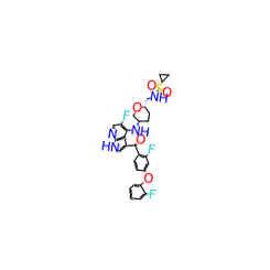 O=C(c1ccc(Oc2ccccc2F)cc1F)c1c[nH]c2ncc(F)c(N[C@@H]3CC[C@@H](CNS(=O)(=O)C4CC4)OC3)c12